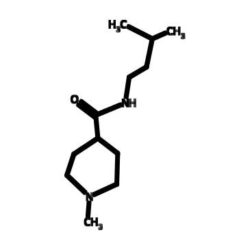 CC(C)CCNC(=O)C1CCN(C)CC1